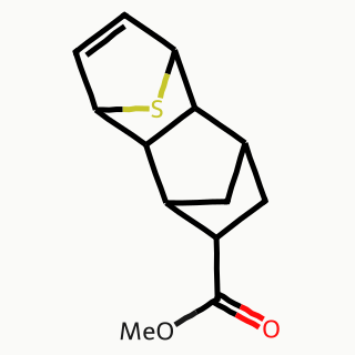 COC(=O)C1CC2CC1C1C3C=CC(S3)C21